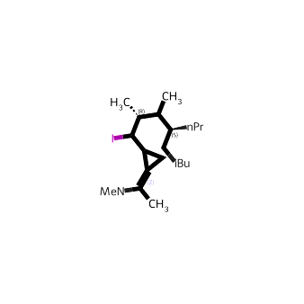 CCC[C@@H](CC(C)CC)C(C)[C@@H](C)C(I)C1C/C1=C(\C)NC